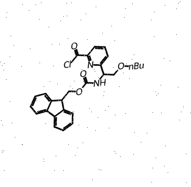 CCCCOCC(NC(=O)OCC1c2ccccc2-c2ccccc21)c1cccc(C(=O)Cl)n1